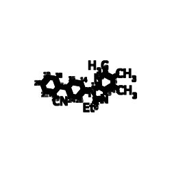 CCc1nc2c(C)c(C)c(C)nc2n1-c1ccc(-c2ccccc2C#N)cc1